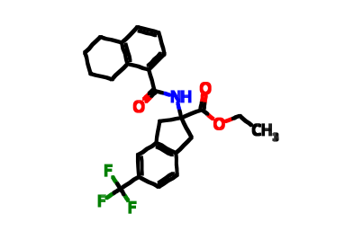 CCOC(=O)C1(NC(=O)c2cccc3c2CCCC3)Cc2ccc(C(F)(F)F)cc2C1